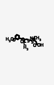 COc1cccc(-c2cc(CSc3nc(C)c(CC(=O)O)s3)c(C)o2)c1